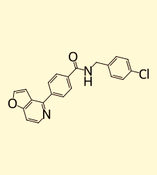 O=C(NCc1ccc(Cl)cc1)c1ccc(-c2nccc3occc23)cc1